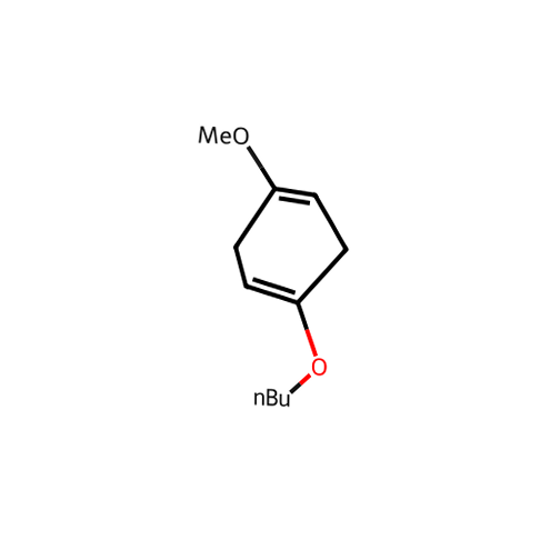 CCCCOC1=CCC(OC)=CC1